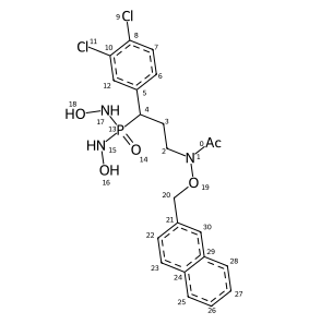 CC(=O)N(CCC(c1ccc(Cl)c(Cl)c1)P(=O)(NO)NO)OCc1ccc2ccccc2c1